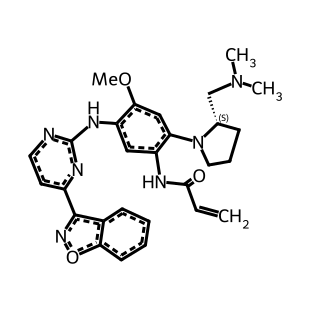 C=CC(=O)Nc1cc(Nc2nccc(-c3noc4ccccc34)n2)c(OC)cc1N1CCC[C@H]1CN(C)C